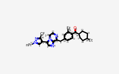 CCCn1cc(-c2cnc3c(Cc4ccc(C(=O)C5CCC(CC)CC5)c(CC)c4)nccn23)c(C(F)(F)F)n1